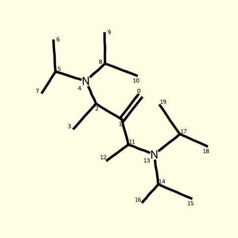 C=C(C(C)N(C(C)C)C(C)C)C(C)N(C(C)C)C(C)C